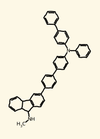 CNC1c2ccc(-c3ccc(-c4ccc(N(c5ccccc5)c5ccc(-c6ccccc6)cc5)cc4)cc3)cc2C2C=CC=CC21